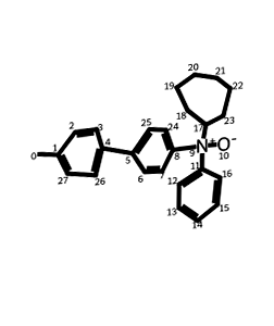 Cc1ccc(-c2ccc([N+]([O-])(c3ccccc3)C3CCCCCC3)cc2)cc1